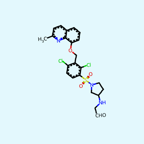 Cc1ccc2cccc(OCc3c(Cl)ccc(S(=O)(=O)N4CCC(NCC=O)C4)c3Cl)c2n1